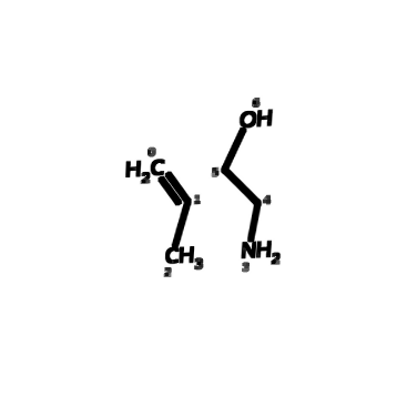 C=CC.NCCO